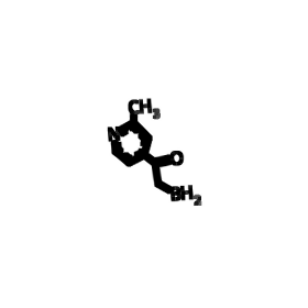 BCC(=O)c1ccnc(C)c1